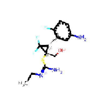 CC/N=C(/N)S[C@@]1(CO)[C@@H](c2cc(N)ccc2F)C1(F)F